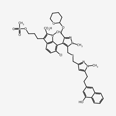 Cn1nc(CSCc2c(-c3c(Cl)ccc4c(CCCOS(C)(=O)=O)c(C(=O)O)n(C)c34)c(COC3CCCCO3)nn2C)cc1CCc1cc(O)c2ccccc2c1